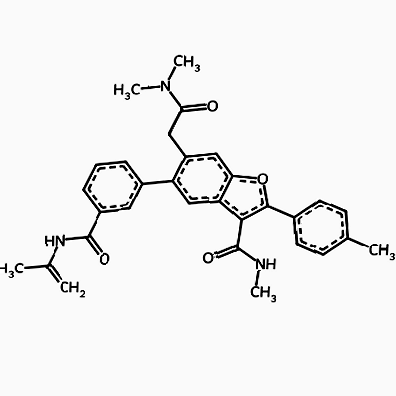 C=C(C)NC(=O)c1cccc(-c2cc3c(C(=O)NC)c(-c4ccc(C)cc4)oc3cc2CC(=O)N(C)C)c1